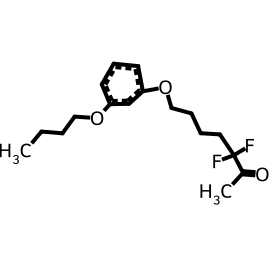 CCCCOc1cccc(OCCCCC(F)(F)C(C)=O)c1